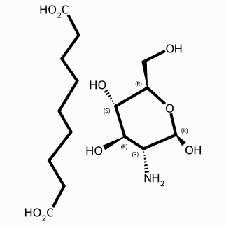 N[C@@H]1[C@@H](O)[C@H](O)[C@@H](CO)O[C@H]1O.O=C(O)CCCCCCCC(=O)O